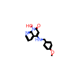 COc1ccc(CNc2cc(=O)n(O)c3ncccc23)cc1